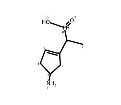 CC(C1=CCC(N)C1)[PH](=O)O